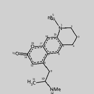 CCCCN1CCCc2cc3c(CC(C)NC)cc(=O)oc3cc21